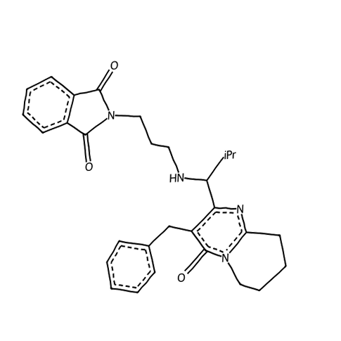 CC(C)C(NCCCN1C(=O)c2ccccc2C1=O)c1nc2n(c(=O)c1Cc1ccccc1)CCCC2